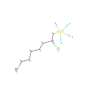 F[SH](F)(F)(F)CC(Cl)CCCCCBr